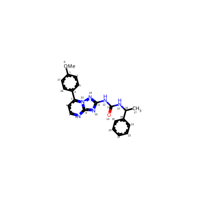 COc1ccc(-c2ccnc3nc(NC(=O)NC(C)c4ccccc4)nn23)cc1